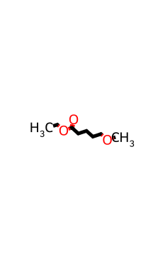 CCOC(=O)CCCCOC